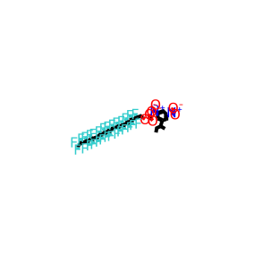 CCC(C)c1cc([N+](=O)[O-])cc([N+](=O)[O-])c1OC(=O)OCC(F)(F)C(F)(F)C(F)(F)C(F)(F)C(F)(F)C(F)(F)C(F)(F)C(F)(F)C(F)(F)C(F)(F)C(F)(F)C(F)(F)C(F)(F)C(F)F